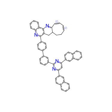 C1=C\CCC2Cc3c(-c4ccc(-c5cccc(-c6nc(-c7ccc8ccccc8c7)cc(-c7ccc8ccccc8c7)n6)c5)cc4)nc4ccccc4c3N=C2\C=C/1